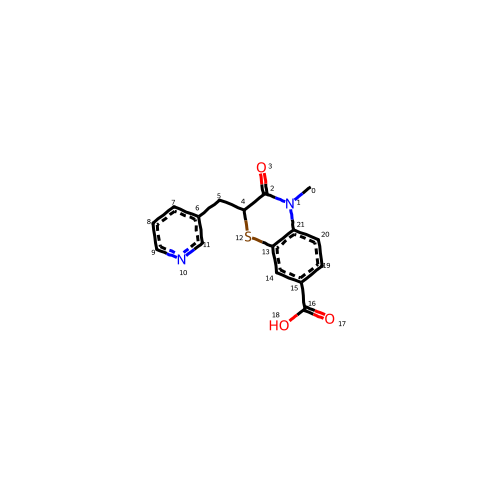 CN1C(=O)C(Cc2cccnc2)Sc2cc(C(=O)O)ccc21